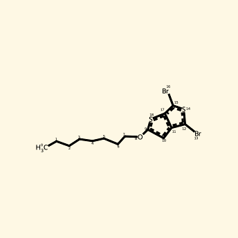 CCCCCCCCOc1cc2c(Br)sc(Br)c2s1